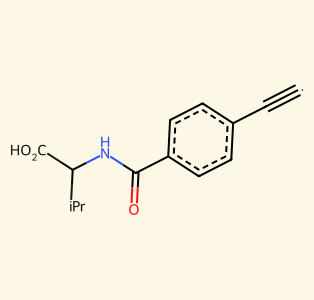 [C]#Cc1ccc(C(=O)NC(C(=O)O)C(C)C)cc1